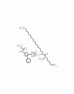 CCC(=O)Nc1nc(-c2ccccc2)c(-c2nc(C)no2)s1.CCCCCCCCCCCCCCCCNC(=O)[C@@H](N)CCCCN